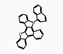 c1ccc2c(-n3c4ccccc4c4c5oc6ccccc6c5c5ccccc5c43)cccc2c1